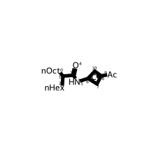 CCCCCCCCC(CCCCCC)C(=O)NC12CC(C(C)=O)(C1)C2